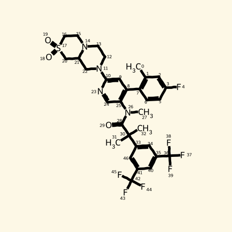 Cc1cc(F)ccc1-c1cc(N2CCN3CCS(=O)(=O)CC3C2)ncc1N(C)C(=O)C(C)(C)c1cc(C(F)(F)F)cc(C(F)(F)F)c1